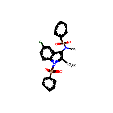 CCOC(=O)c1c(N(C)S(=O)(=O)c2ccccc2)c2cc(Cl)ccc2n1S(=O)(=O)c1ccccc1